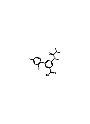 Cc1ccc(-c2cc(C(=O)O)cc(N(C)C(=O)C(C)C)c2)c(F)c1